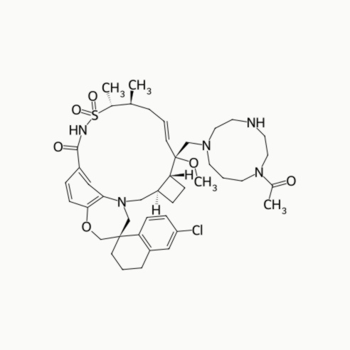 CO[C@@]1(CN2CCCN(C(C)=O)CCNCC2)/C=C/C[C@H](C)[C@@H](C)S(=O)(=O)NC(=O)c2ccc3c(c2)N(C[C@@H]2CC[C@H]21)C[C@@]1(CCCc2cc(Cl)ccc21)CO3